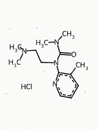 Cc1cccnc1N(CCN(C)C)C(=O)N(C)C.Cl